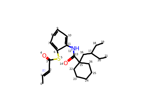 C/C=C/C(=O)Sc1ccccc1NC(=O)C1(CC(CC)CC)CCCCC1